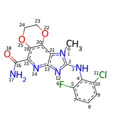 Cn1c(Nc2c(F)cccc2Cl)nc2nc(C(N)=O)c3c(c21)OCCO3